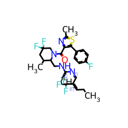 C\C=C(/N=C\C(=C/CC)C(F)(F)F)NCC1C(C)CC(F)(F)CN1C(=O)c1nc(C)sc1-c1ccc(F)cc1